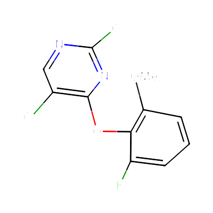 COc1cccc(F)c1Oc1nc(Cl)ncc1Cl